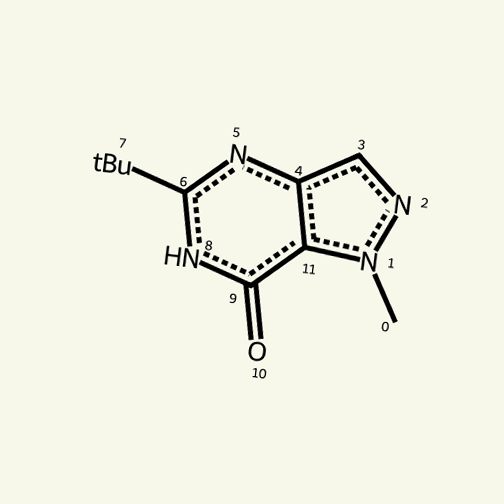 Cn1ncc2nc(C(C)(C)C)[nH]c(=O)c21